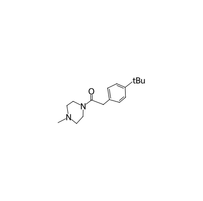 CN1CCN(C(=O)Cc2ccc(C(C)(C)C)cc2)CC1